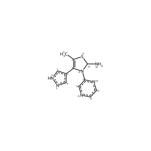 CC1=C(c2cn[nH]c2)N(c2cnccn2)C(N)S1